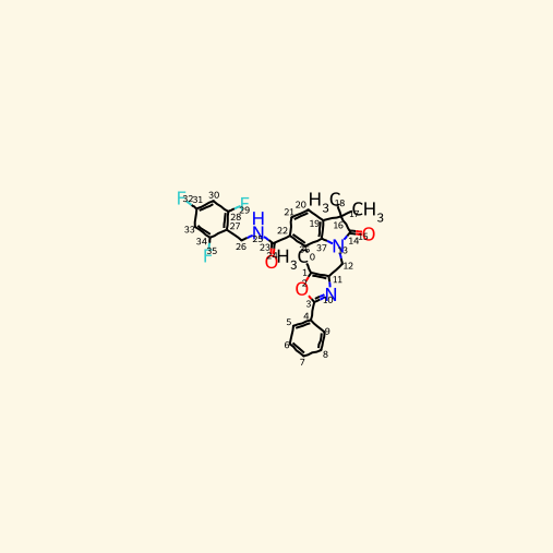 Cc1oc(-c2ccccc2)nc1CN1C(=O)C(C)(C)c2ccc(C(=O)NCc3c(F)cc(F)cc3F)cc21